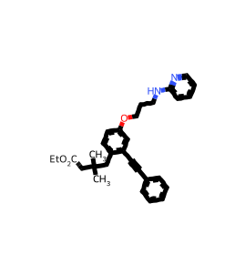 CCOC(=O)CC(C)(C)Cc1ccc(OCCCNc2ccccn2)cc1C#Cc1ccccc1